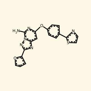 Nc1nc(Oc2ccc(-c3nccs3)cc2)cc2nc(-c3ccco3)nn12